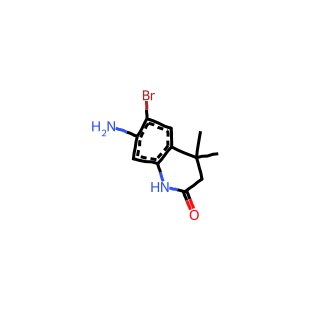 CC1(C)CC(=O)Nc2cc(N)c(Br)cc21